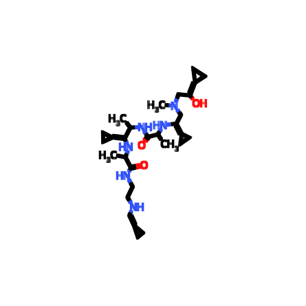 CC(NC(CN(C)CC(O)=C1CC1)=C1CC1)C(=O)NC(C)C(NC(C)C(=O)NCCNC=C1CC1)=C1CC1